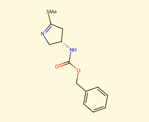 CSC1=NC[C@@H](NC(=O)OCc2ccccc2)C1